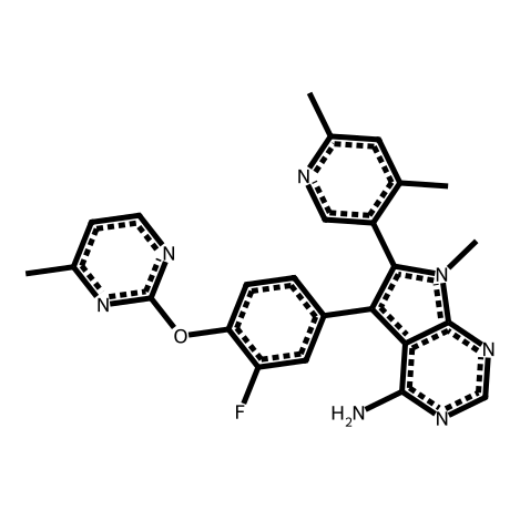 Cc1cc(C)c(-c2c(-c3ccc(Oc4nccc(C)n4)c(F)c3)c3c(N)ncnc3n2C)cn1